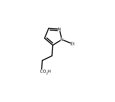 CCn1nccc1CCC(=O)O